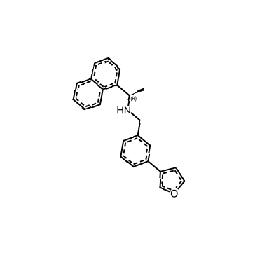 C[C@@H](NCc1cccc(-c2ccoc2)c1)c1cccc2ccccc12